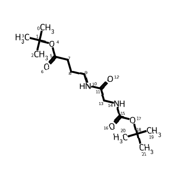 CC(C)(C)OC(=O)CCCNC(=O)CNC(=O)OC(C)(C)C